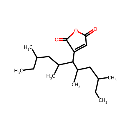 CCC(C)CC(C)C(C1=CC(=O)OC1=O)C(C)CC(C)CC